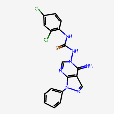 N=c1c2cnn(-c3ccccc3)c2ncn1NC(=S)Nc1ccc(Cl)cc1Cl